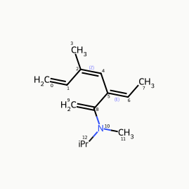 C=C/C(C)=C\C(=C/C)C(=C)N(C)C(C)C